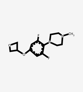 CN1CCN(c2c(F)cc(OC3COC3)cc2F)CC1